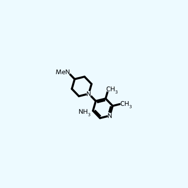 CNC1CCN(c2ccnc(C)c2C)CC1.N